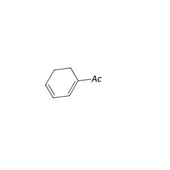 CC(=O)C1=CC=CCC1